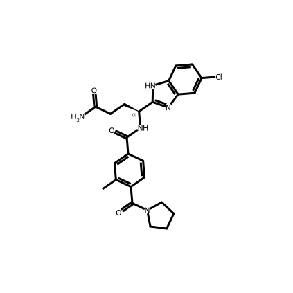 Cc1cc(C(=O)N[C@@H](CCC(N)=O)c2nc3cc(Cl)ccc3[nH]2)ccc1C(=O)N1CCCC1